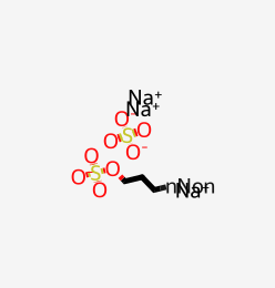 CCCCCCCCCCCCOS(=O)(=O)[O-].O=S(=O)([O-])[O-].[Na+].[Na+].[Na+]